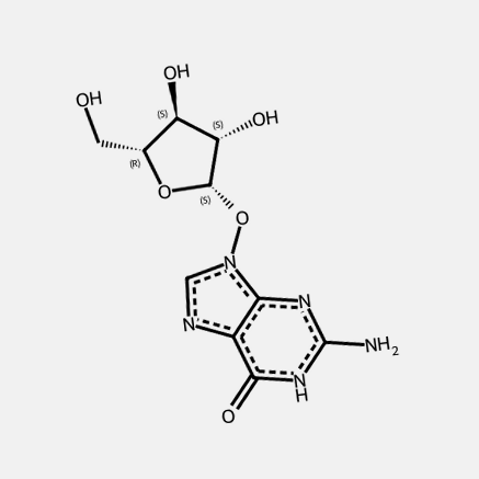 Nc1nc2c(ncn2O[C@@H]2O[C@H](CO)[C@@H](O)[C@@H]2O)c(=O)[nH]1